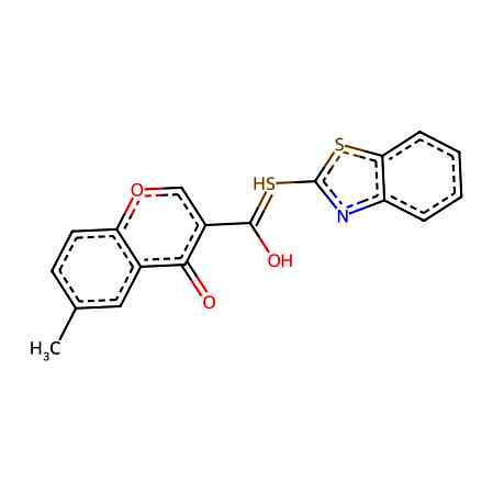 Cc1ccc2occ(C(O)=[SH]c3nc4ccccc4s3)c(=O)c2c1